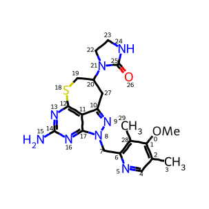 COc1c(C)cnc(Cn2nc3c4c(nc(N)nc42)SCC(N2CCNC2=O)C3)c1C